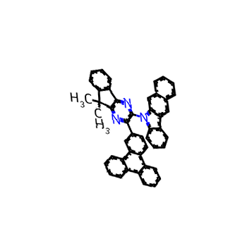 CC1(C)c2ccccc2-c2nc(-n3c4ccccc4c4cc5ccccc5cc43)c(-c3ccc4c5ccccc5c5ccccc5c4c3)nc21